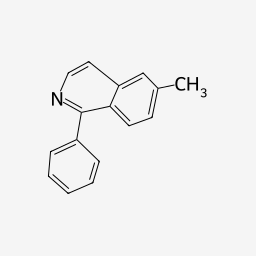 Cc1ccc2c(-c3ccccc3)nccc2c1